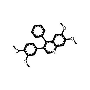 COc1ccc(-c2cnc3cc(OC)c(OC)cc3c2-c2ccccc2)cc1OC